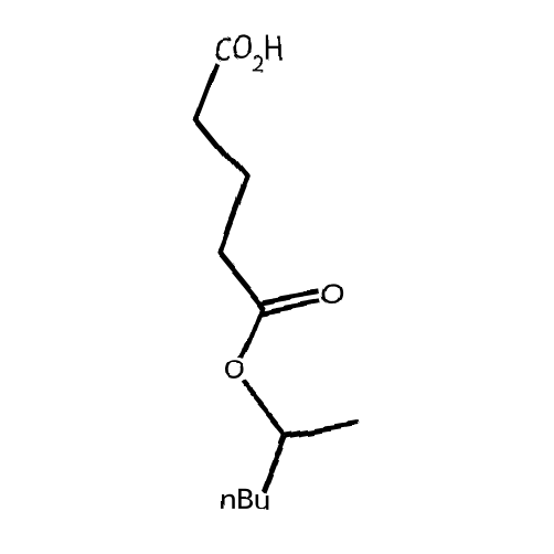 CCCCC(C)OC(=O)CCCC(=O)O